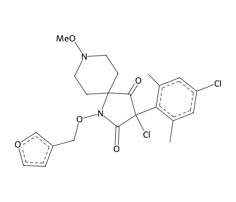 CON1CCC2(CC1)C(=O)C(Cl)(c1c(C)cc(Cl)cc1C)C(=O)N2OCc1ccoc1